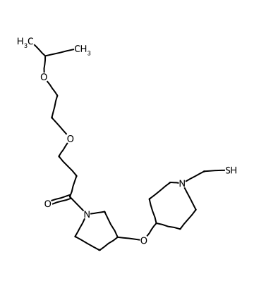 CC(C)OCCOCCC(=O)N1CCC(OC2CCN(CS)CC2)C1